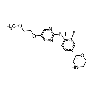 COCCOc1cnc(Nc2ccc([C@H]3CNCCO3)cc2F)nc1